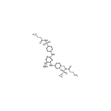 CCCC(=O)NS(=O)(=O)c1ccc(Nc2ncc(C)c(Nc3ccc(CN(C(=O)CCC)S(=O)(=O)C4CC4)cc3)n2)cc1.[NaH]